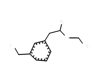 NC(Cc1cccc(CO)c1)OCO